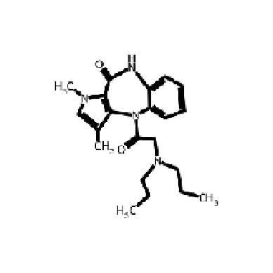 CCCN(CCC)CC(=O)N1c2ccccc2NC(=O)c2c1c(C)cn2C